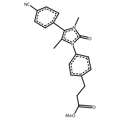 COC(=O)CCc1ccc(-n2c(C)c(-c3ccc(C#N)cc3)n(C)c2=O)cc1